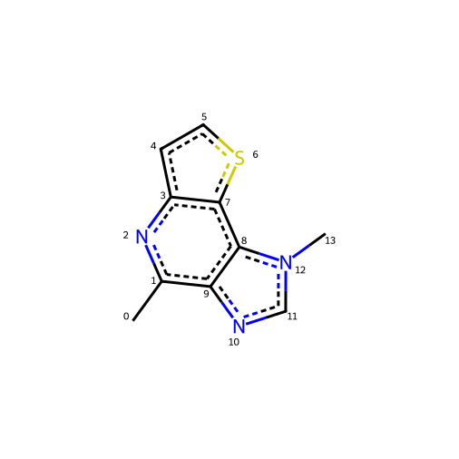 Cc1nc2ccsc2c2c1ncn2C